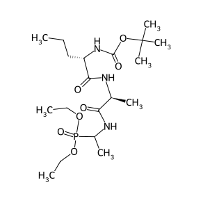 CCC[C@H](NC(=O)OC(C)(C)C)C(=O)N[C@@H](C)C(=O)NC(C)P(=O)(OCC)OCC